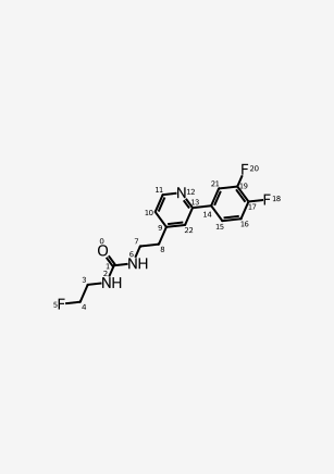 O=C(NCCF)NCCc1ccnc(-c2ccc(F)c(F)c2)c1